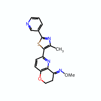 CON=C1CCOc2ccc(-c3sc(-c4cccnc4)nc3C)nc21